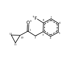 O=C([CH]c1ccccc1F)C1CC1